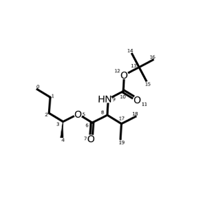 CCC[C@H](C)OC(=O)C(NC(=O)OC(C)(C)C)C(C)C